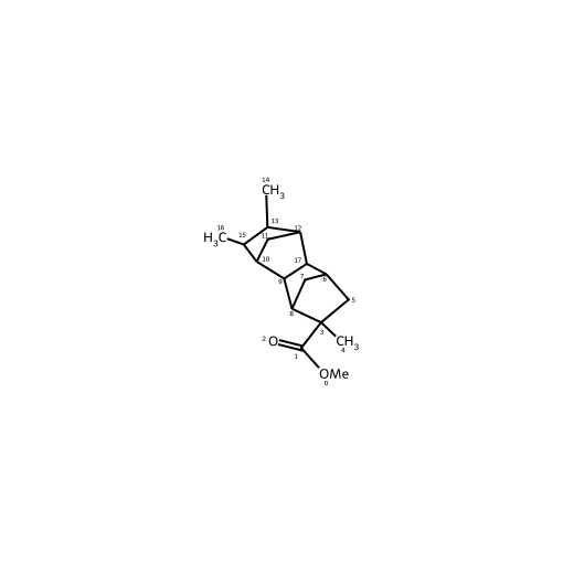 COC(=O)C1(C)CC2CC1C1C3CC(C(C)C3C)C21